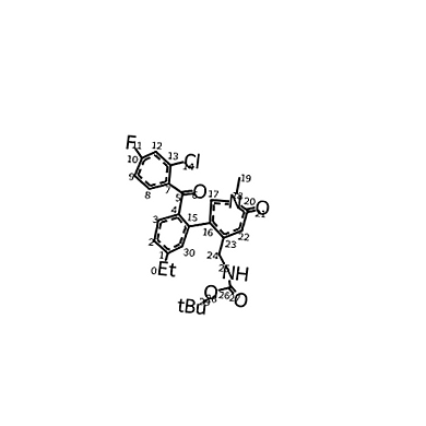 CCc1ccc(C(=O)c2ccc(F)cc2Cl)c(-c2cn(C)c(=O)cc2CNC(=O)OC(C)(C)C)c1